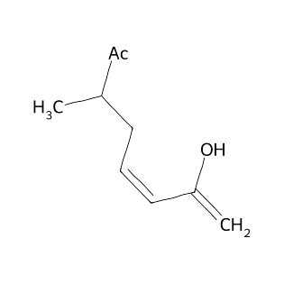 C=C(O)/C=C\CC(C)C(C)=O